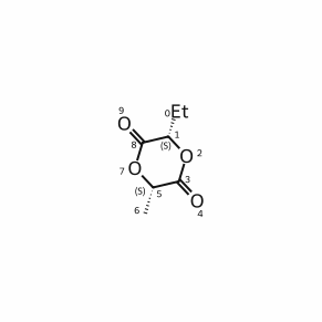 CC[C@@H]1OC(=O)[C@H](C)OC1=O